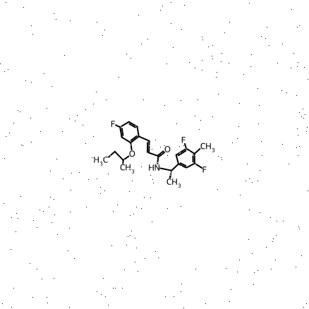 CCC(C)Oc1cc(F)ccc1/C=C/C(=O)N[C@H](C)c1cc(F)c(C)c(F)c1